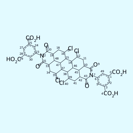 O=C(O)c1cc(C(=O)O)cc(N2C(=O)C3CC(Cl)C4C5C(Cl)CC6C(=O)N(c7cc(C(=O)O)cc(C(=O)O)c7)C(=O)C7CC(Cl)C(C8C(Cl)CC(C2=O)C3C48)C5C67)c1